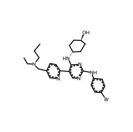 CCCN(CC)Cc1ccc(-c2cnc(Nc3ccc(Br)cc3)nc2N[C@H]2CC[C@H](O)CC2)nc1